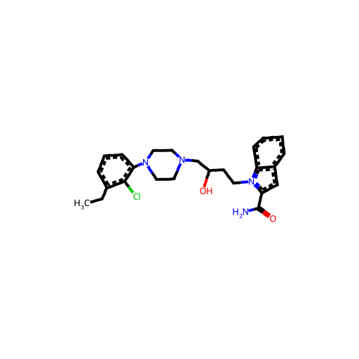 CCc1cccc(N2CCN(CC(O)CCn3c(C(N)=O)cc4ccccc43)CC2)c1Cl